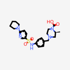 C[C@H]1CN(Cc2ccc(NS(=O)(=O)c3ccc(N4CCCCC4)nc3)cc2)CCN1C(=O)O